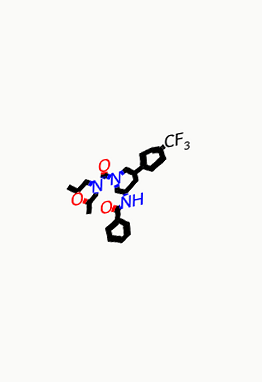 CC1CN(C(=O)N2CC(NC(=O)c3ccccc3)CC(c3ccc(C(F)(F)F)cc3)C2)CC(C)O1